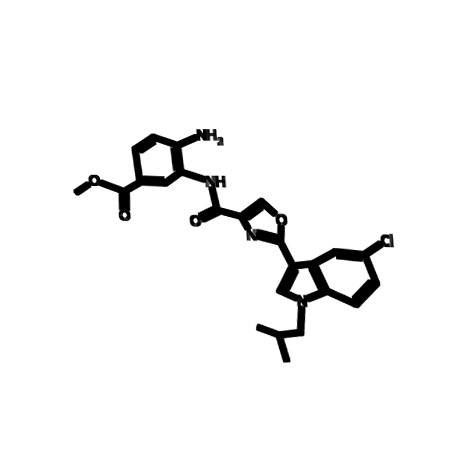 COC(=O)c1ccc(N)c(NC(=O)c2coc(-c3cn(CC(C)C)c4ccc(Cl)cc34)n2)c1